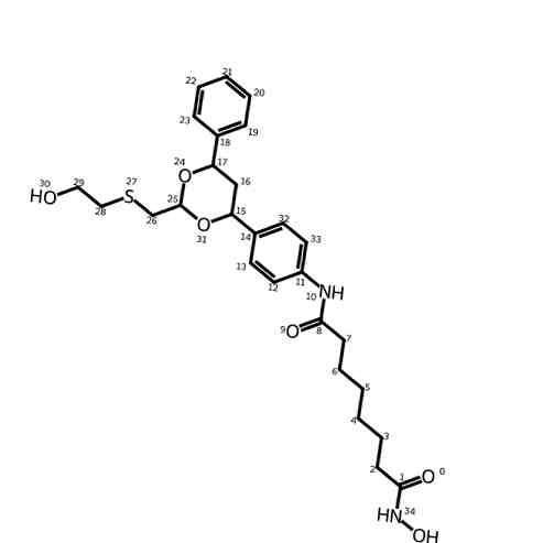 O=C(CCCCCCC(=O)Nc1ccc(C2CC(c3ccccc3)OC(CSCCO)O2)cc1)NO